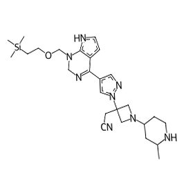 CC1CC(N2CC(CC#N)(n3cc(C4=NCN(COCC[Si](C)(C)C)c5[nH]ccc54)cn3)C2)CCN1